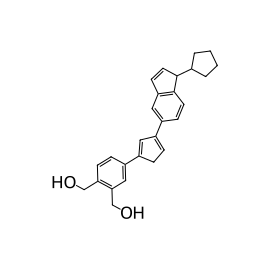 OCc1ccc(C2=CC(c3ccc4c(c3)C=CC4C3CCCC3)=CC2)cc1CO